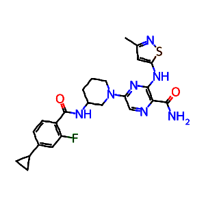 Cc1cc(Nc2nc(N3CCCC(NC(=O)c4ccc(C5CC5)cc4F)C3)cnc2C(N)=O)sn1